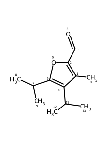 Cc1c(C=O)oc(C(C)C)c1C(C)C